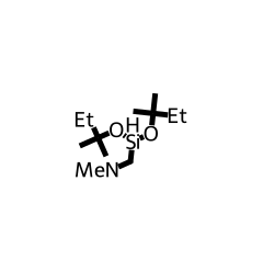 CCC(C)(C)O[SiH](CNC)OC(C)(C)CC